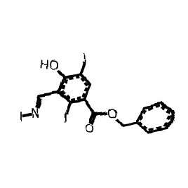 O=C(OCc1ccccc1)c1cc(I)c(O)c(C=NI)c1I